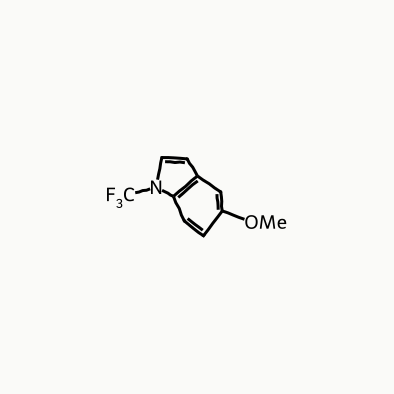 COc1ccc2c(ccn2C(F)(F)F)c1